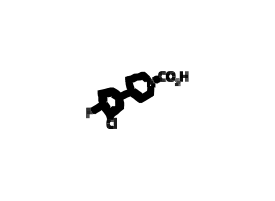 O=C(O)N1CC=C(c2ccc(F)c(Cl)c2)CC1